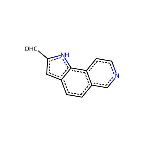 O=Cc1cc2ccc3cnccc3c2[nH]1